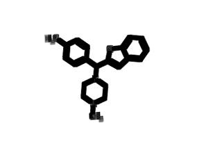 Cc1ccc(C(c2cc3ccccc3o2)N2CCN(C)CC2)cc1